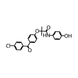 CC(C)(Oc1ccc(C(=O)c2ccc(Cl)cc2)cc1)C(=O)Nc1ccc(O)cc1